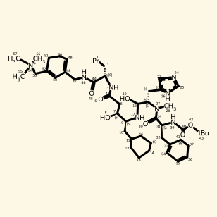 CC(C)C[C@H](NC(=O)C[C@H](O)[C@H](CC1CCCCC1)NC(O)[C@H](Cc1cnc[nH]1)N(C)C(=O)[C@H](CC1=CC=CCC1)NC(=O)OC(C)(C)C)C(=O)NCC1=CCCC(C[N+](C)(C)C)=C1